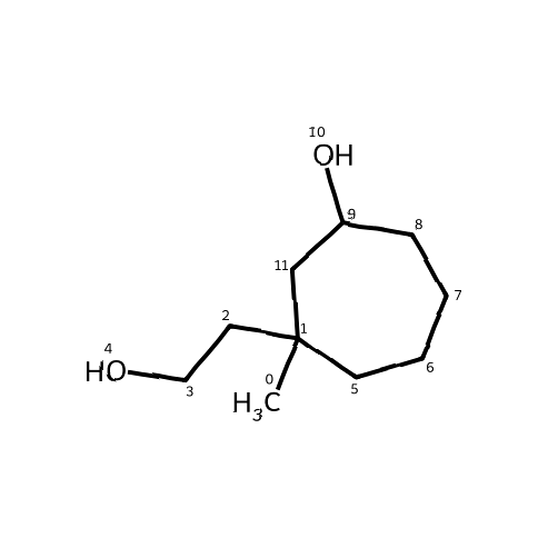 CC1(CCO)CCCCC(O)C1